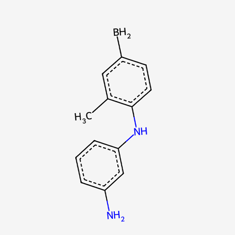 Bc1ccc(Nc2cccc(N)c2)c(C)c1